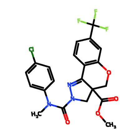 COC(=O)C12COc3cc(C(F)(F)F)ccc3C1=NN(C(=O)N(C)c1ccc(Cl)cc1)C2